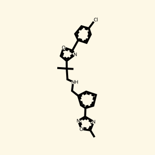 Cc1nc(-c2cccc(CNCC(C)(C)c3coc(-c4ccc(Cl)cc4)n3)c2)no1